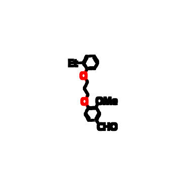 CCc1ccccc1OCCCOc1ccc(C=O)cc1OC